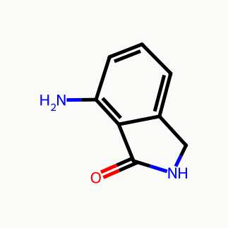 Nc1cccc2c1C(=O)NC2